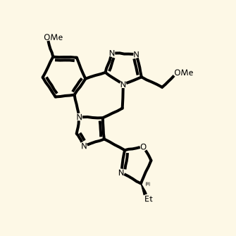 CC[C@@H]1COC(c2ncn3c2Cn2c(COC)nnc2-c2cc(OC)ccc2-3)=N1